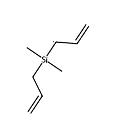 C=C[CH][Si](C)(C)CC=C